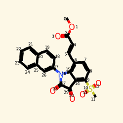 COC(=O)C=Cc1ccc(S(C)(=O)=O)c2c1N(c1ccc3ccccc3c1)C(=O)C2=O